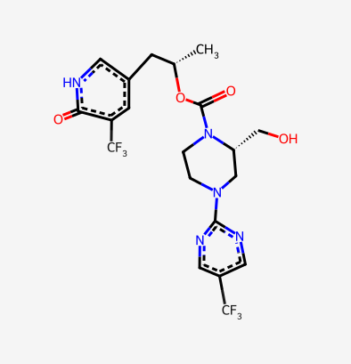 C[C@@H](Cc1c[nH]c(=O)c(C(F)(F)F)c1)OC(=O)N1CCN(c2ncc(C(F)(F)F)cn2)C[C@H]1CO